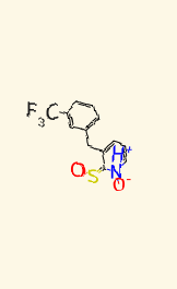 O=S=C1C(Cc2cccc(C(F)(F)F)c2)=CC=C[NH+]1[O-]